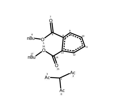 CC(=O)C(C(C)=O)C(C)=O.CCCCOC(=O)c1ccccc1C(=O)OCCCC